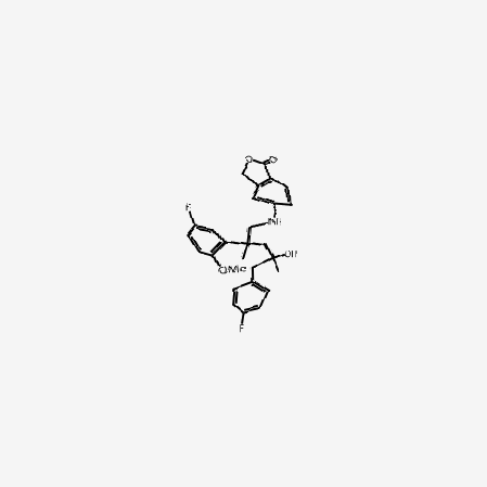 COc1ccc(F)cc1C(C)(CNc1ccc2c(c1)COC2=O)CC(C)(O)Cc1ccc(F)cc1